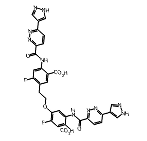 O=C(Nc1cc(OCCc2cc(C(=O)O)c(NC(=O)c3ccc(-c4cn[nH]c4)nn3)cc2F)c(F)cc1C(=O)O)c1ccc(-c2cn[nH]c2)nn1